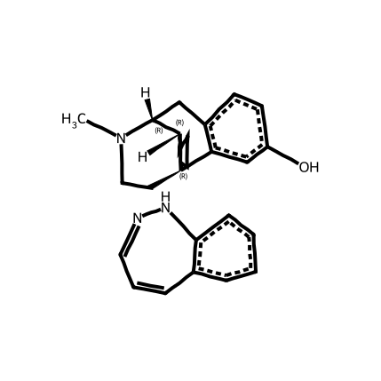 C1=Cc2ccccc2NN=C1.CN1CC[C@]23CCCC[C@H]2[C@H]1Cc1ccc(O)cc13